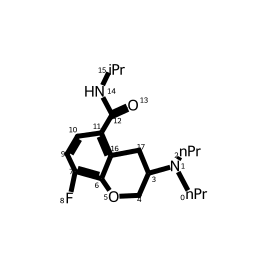 CCCN(CCC)C1COc2c(F)ccc(C(=O)NC(C)C)c2C1